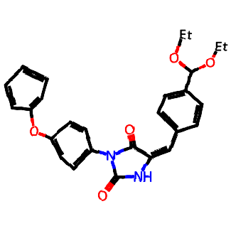 CCOC(OCC)c1ccc(/C=C2/NC(=O)N(c3ccc(Oc4ccccc4)cc3)C2=O)cc1